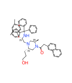 Cc1ccc(C[C@@H](CN2C[C@@H](C)N(C(=O)Cc3ccc4ccccc4c3)C[C@@H]2CCCO)NC(c2ccccc2)(c2ccccc2)c2ccccc2)c(C)c1